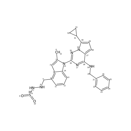 Cc1cc2c(CNN[SH](=O)=O)cccc2n1-c1nc(NCc2ccccc2)c2ccc(C3CC3)n2n1